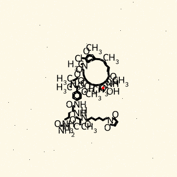 COc1cc(NC(=O)[C@H](CCCNC(N)=O)NC(=O)[C@@H](NC(=O)CCCCCN2C(=O)C=CC2=O)C(C)C)ccc1C(=O)N(C)[C@@H](C)C(=O)O[C@H]1CC(=O)N(C)c2cc(cc(OC)c2Cl)C/C(C)=C/C=C/[C@@H](OC)[C@@]2(O)C[C@H](OC(O)N2)[C@@H](C)[C@@H]2O[C@@]12C